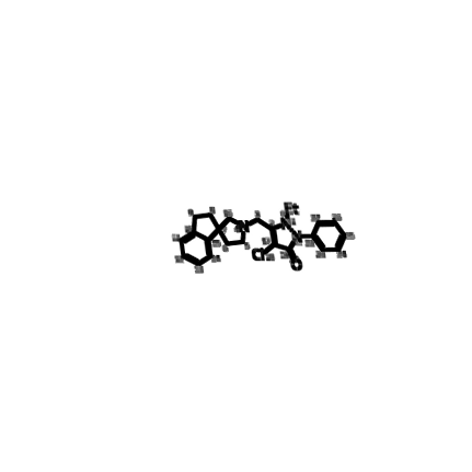 CCn1c(CN2CCC3(CCc4ccccc43)C2)c(Cl)c(=O)n1-c1ccccc1